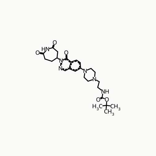 CC(C)(C)OC(=O)NCCN1CCN(c2ccc3c(=O)n(C4CCC(=O)NC(=O)C4)ncc3c2)CC1